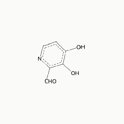 O=Cc1nccc(O)c1O